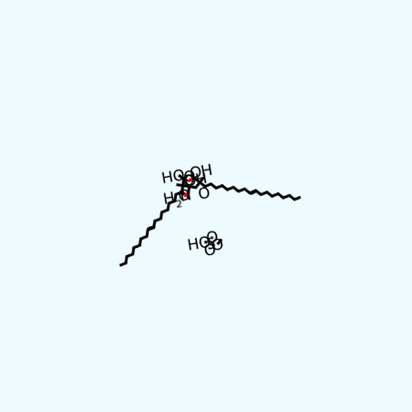 CCCCCCCCC=CCCCCCCCC(=O)C(C)(CC(O)(CN)C(C)(C(=O)O)C(=O)CCCCCCCC=CCCCCCCCC)C(=O)O.COS(=O)(=O)O